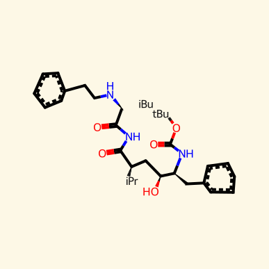 CC[C@H](C)[C@H](NCCc1ccccc1)C(=O)NC(=O)[C@@H](C[C@H](O)[C@H](Cc1ccccc1)NC(=O)OC(C)(C)C)C(C)C